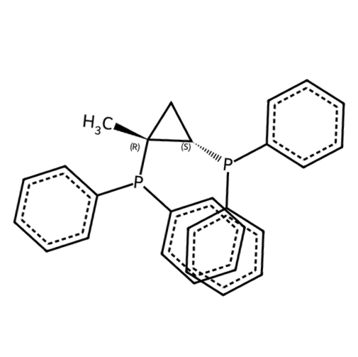 C[C@@]1(P(c2ccccc2)c2ccccc2)C[C@@H]1P(c1ccccc1)c1ccccc1